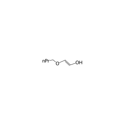 CCCCO/C=C/O